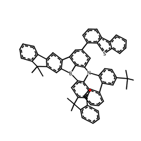 CC(C)(C)c1ccc(N2c3cc4c(cc3B3c5cc6c(cc5-c5cc(-c7cccc8c7sc7ccccc78)cc2c53)-c2ccccc2C6(C)C)C(C)(C)c2ccccc2-4)c(-c2ccccc2)c1